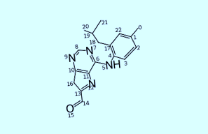 Cc1ccc(Nc2ncnc3c2N=C(C=O)C3)c(CC(C)C)c1